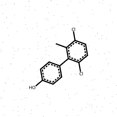 Cc1c(Cl)ccc(Cl)c1-c1ccc(O)cc1